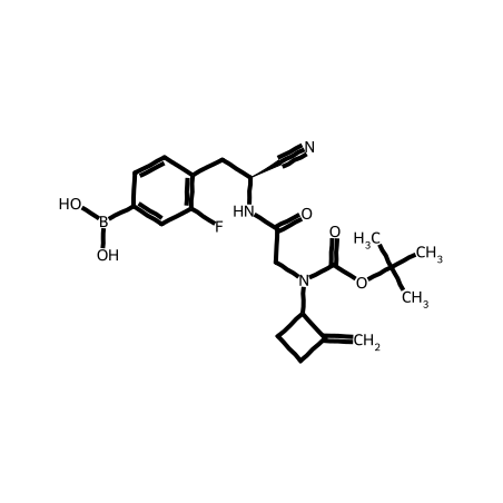 C=C1CCC1N(CC(=O)N[C@H](C#N)Cc1ccc(B(O)O)cc1F)C(=O)OC(C)(C)C